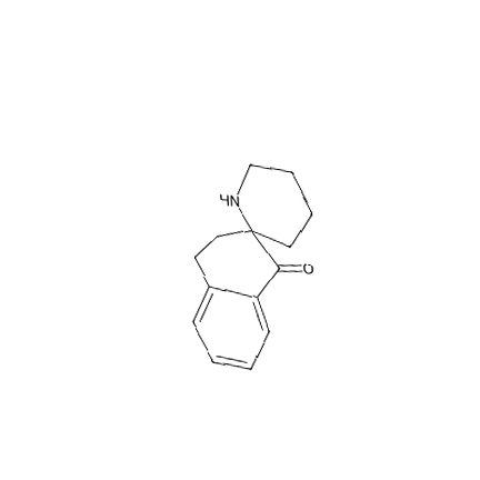 O=C1c2ccccc2CCC12CCCCN2